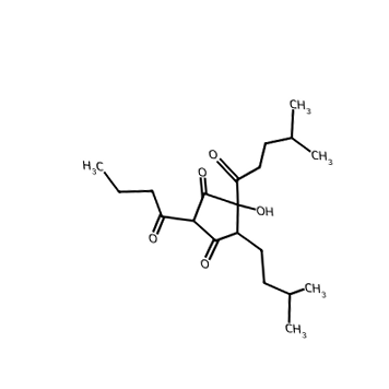 CCCC(=O)C1C(=O)C(CCC(C)C)C(O)(C(=O)CCC(C)C)C1=O